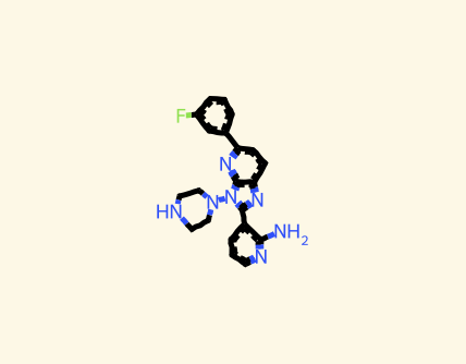 Nc1ncccc1-c1nc2ccc(-c3cccc(F)c3)nc2n1N1CCNCC1